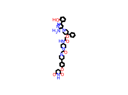 Nc1nnc(-c2ccccc2O)cc1N1CCC(OCC(=O)NC2CCN(C(=O)CN3CCC(c4ccc(OC5CCC(=O)NC5=O)cc4)CC3)CC2)(c2ccccc2)CC1